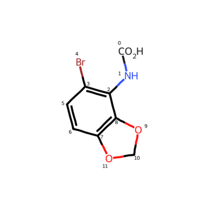 O=C(O)Nc1c(Br)ccc2c1OCO2